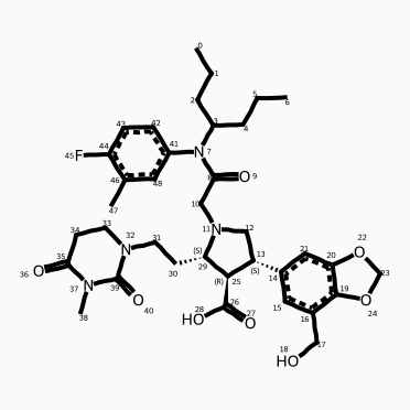 CCCC(CCC)N(C(=O)CN1C[C@H](c2cc(CO)c3c(c2)OCO3)[C@@H](C(=O)O)[C@@H]1CCN1CCC(=O)N(C)C1=O)c1ccc(F)c(C)c1